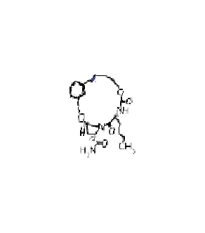 CCCC[C@@H]1NC(=O)OCCC/C=C/c2cccc(c2)CO[C@@H]2C[C@@H](C(N)=O)N(C2)C1=O